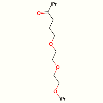 CC(C)OCCOCCOCCCC(=O)C(C)C